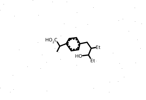 CCC(O)C(CC)Cc1ccc(C(C)C(=O)O)cc1